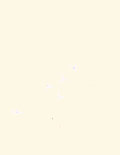 NC(=O)c1ccc2c(c1)C(CC(=O)O)N(c1cc(C(F)(F)F)ccc1F)C(N1CCN(c3ccc(F)cc3)CC1)=N2